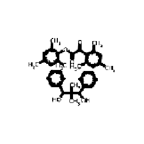 CC(C)(C(O)c1ccccc1)C(O)c1ccccc1.Cc1cc(C)c(OC(=O)C(=O)c2c(C)cc(C)cc2C)c(C)c1